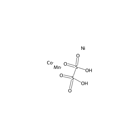 O=S(=O)(O)S(=O)(=O)O.[Co].[Mn].[Ni]